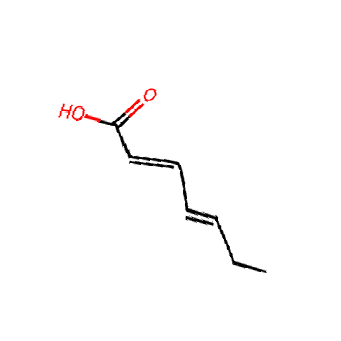 CCC=CC=CC(=O)O